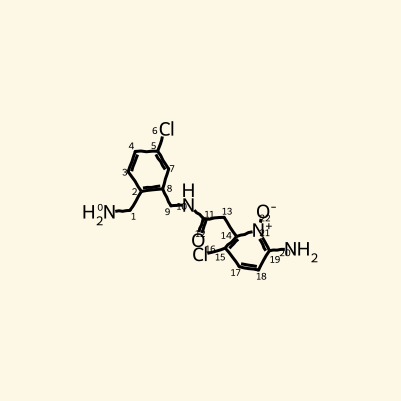 NCc1ccc(Cl)cc1CNC(=O)Cc1c(Cl)ccc(N)[n+]1[O-]